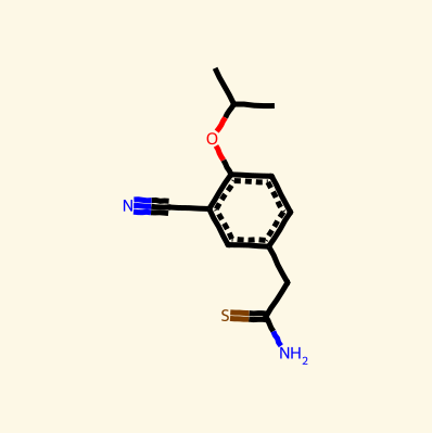 CC(C)Oc1ccc(CC(N)=S)cc1C#N